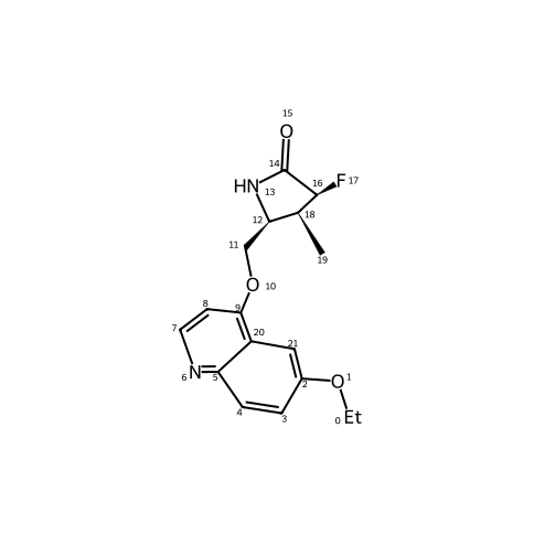 CCOc1ccc2nccc(OC[C@H]3NC(=O)[C@@H](F)[C@H]3C)c2c1